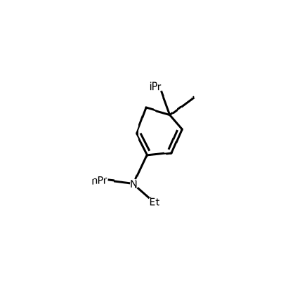 CCCN(CC)C1=CCC(C)(C(C)C)C=C1